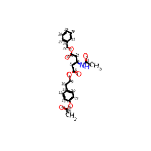 CC(=O)NC(CC(=O)OCCc1ccc(OC(C)=O)cc1)CC(=O)OCc1ccccc1